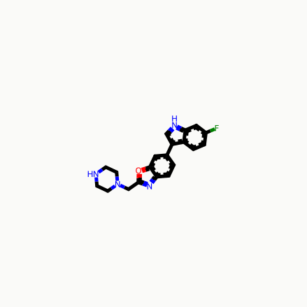 Fc1ccc2c(-c3ccc4nc(CN5CCNCC5)oc4c3)c[nH]c2c1